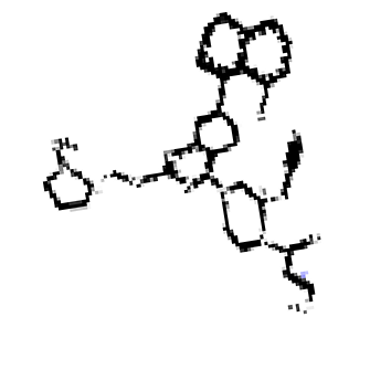 C/C=C/C(=O)N1CCN(c2nc(OC[C@@H]3CCCN3C)nc3c2CCC(c2cccc4cccc(Cl)c24)=C3)C[C@@H]1CC#N